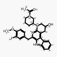 COc1ccc(Cc2nc3c(c4c2[nH]c2ccccc24)CC(O)CN3[C@H]2CCCN(C(C)=O)C2)cc1F